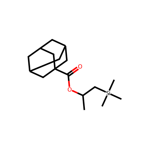 CC(C[Si](C)(C)C)OC(=O)C12CC3CC(CC(C3)C1)C2